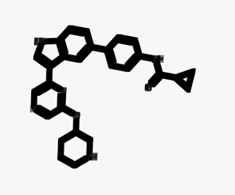 O=C(Nc1ccc(-c2ccc3[nH]cc(-c4cncc(OC5CCCNC5)n4)c3c2)cc1)C1CC1